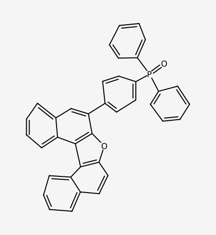 O=P(c1ccccc1)(c1ccccc1)c1ccc(-c2cc3ccccc3c3c2oc2ccc4ccccc4c23)cc1